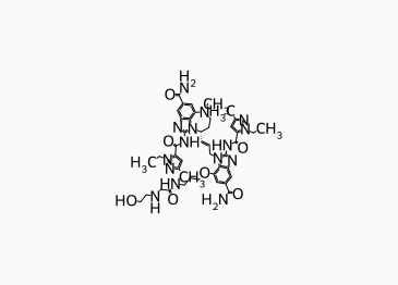 CCn1nc(C)cc1C(=O)Nc1nc2cc(C(N)=O)cc(OCCCNC(=O)CNCCO)c2n1C/C=C/[C@H]1CCN(C)c2cc(C(N)=O)cc3nc(NC(=O)c4cc(C)nn4CC)n1c23